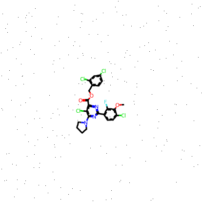 COc1c(Cl)ccc(-c2nc(C(=O)OCc3ccc(Cl)cc3Cl)c(Cl)c(N3CCCC3)n2)c1F